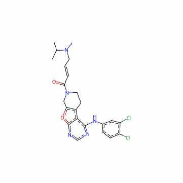 CC(C)N(C)CC=CC(=O)N1CCc2c(oc3ncnc(Nc4ccc(Cl)c(Cl)c4)c23)C1